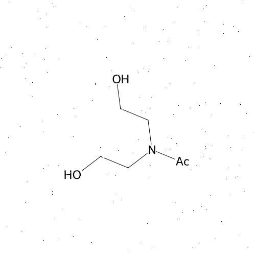 [CH2]C(=O)N(CCO)CCO